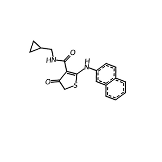 O=C1CSC(Nc2ccc3ccccc3c2)=C1C(=O)NCC1CC1